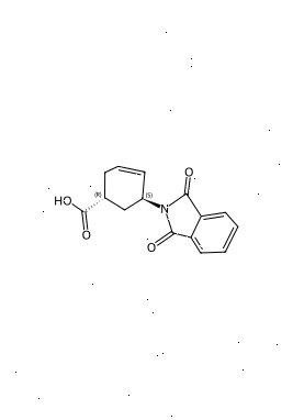 O=C(O)[C@@H]1CC=C[C@@H](N2C(=O)c3ccccc3C2=O)C1